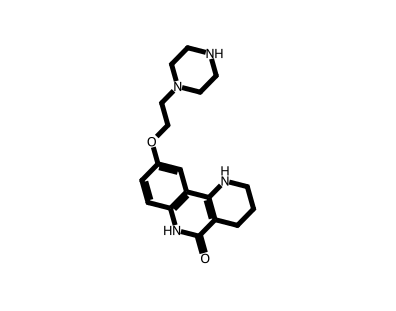 O=c1[nH]c2ccc(OCCN3CCNCC3)cc2c2c1CCCN2